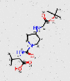 CC(C)[C@H](NC(=O)N1CCC(NCC(=O)OC(C)(C)C)CC1)C(=O)O